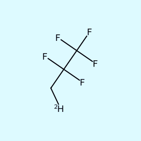 [2H]CC(F)(F)C(F)(F)F